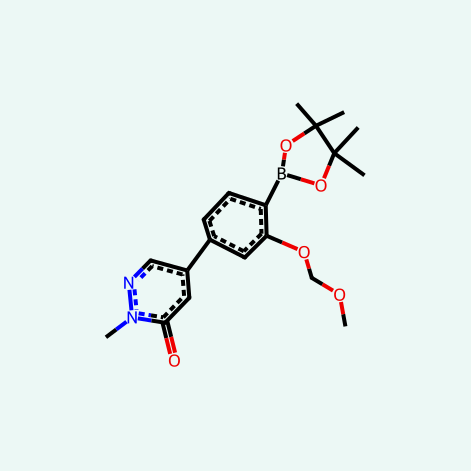 COCOc1cc(-c2cnn(C)c(=O)c2)ccc1B1OC(C)(C)C(C)(C)O1